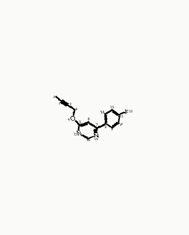 CC#CCOc1cc(-c2ccc(F)cc2)ncn1